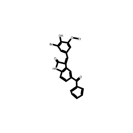 CCOc1cc(C=C2C(=O)Nc3ccc(C(=O)c4ccccc4)cc32)cc(Br)c1O